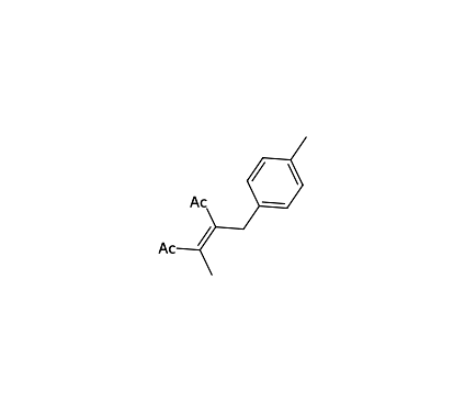 CC(=O)/C(C)=C(/Cc1ccc(C)cc1)C(C)=O